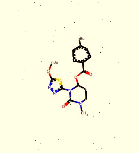 CCCCOc1nnc(N2C(=O)N(C)CCC2OC(=O)c2ccc(CCCC)cc2)s1